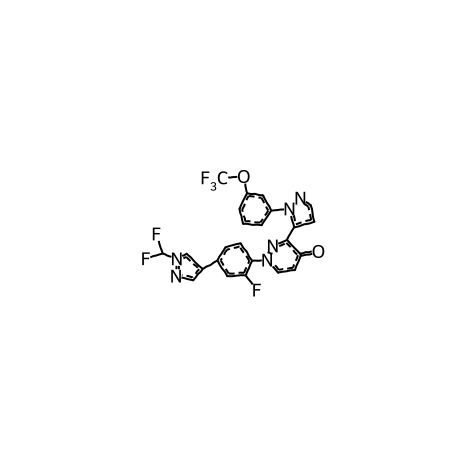 O=c1ccn(-c2ccc(-c3cnn(C(F)F)c3)cc2F)nc1-c1ccnn1-c1cccc(OC(F)(F)F)c1